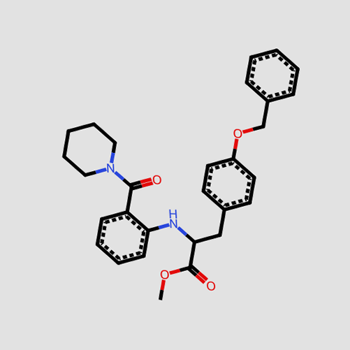 COC(=O)C(Cc1ccc(OCc2ccccc2)cc1)Nc1ccccc1C(=O)N1CCCCC1